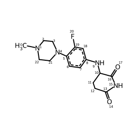 CN1CCN(c2ccc(NC3CCC(=O)NC3=O)cc2F)CC1